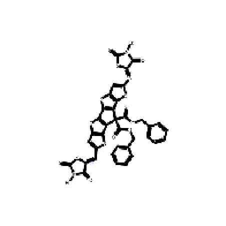 CCN1C(=O)/C(=C/c2cc3sc4c(c3s2)C(C(=O)OCc2ccccc2)(C(=O)OCc2ccccc2)c2c-4sc3cc(/N=C4\SC(=S)N(CC)C4=O)sc23)SC1=S